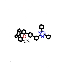 N#Cc1cccc2c1Oc1c(-c3ccc(-c4cccc(-c5nc(-c6ccccc6)nc(-c6ccccc6)n5)c4)cc3)cccc1C21c2ccccc2-c2ccccc21